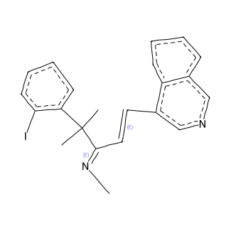 C/N=C(\C=C\c1cncc2ccccc12)C(C)(C)c1ccccc1I